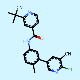 Cc1ccc(NC(=O)c2ccnc(C(C)(C)C#N)c2)cc1-c1cnc(Cl)c(C#N)c1